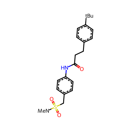 CNS(=O)(=O)Cc1ccc(NC(=O)CCc2ccc(C(C)(C)C)cc2)cc1